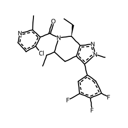 CCC1Cc2c(nn(C)c2-c2cc(F)c(F)c(F)c2)[C@H](CC)N1C(=O)c1c(Cl)ccnc1C